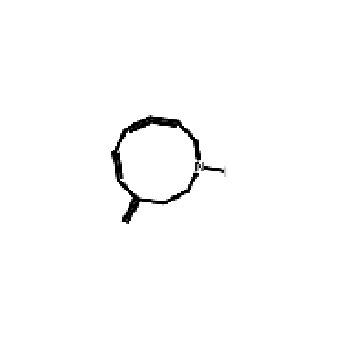 C=C1/C=C\C=C=CCN(I)CC1